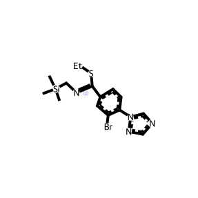 CCS/C(=N\C[Si](C)(C)C)c1ccc(-n2cncn2)c(Br)c1